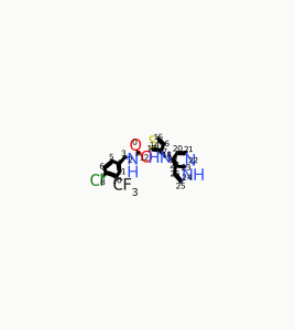 O=C(NCc1ccc(Cl)c(C(F)(F)F)c1)Oc1sccc1Nc1ccnc2[nH]ccc12